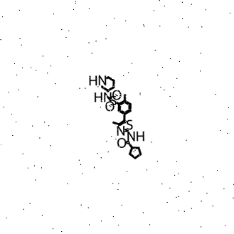 Cc1ccc(-c2sc(NC(=O)C3CCCC3)nc2C)cc1S(=O)(=O)NC1CCCNC1